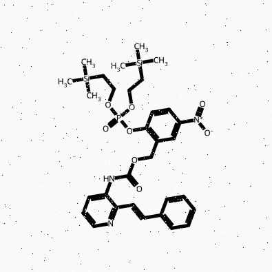 C[Si](C)(C)CCOP(=O)(OCC[Si](C)(C)C)Oc1ccc([N+](=O)[O-])cc1COC(=O)Nc1cccnc1C=Cc1ccccc1